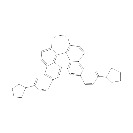 O=C(/C=C\c1ccc2c3c(ccc2c1)OCOc1ccc2cc(/C=C\C(=O)C4CCCC4)ccc2c1-3)C1CCCC1